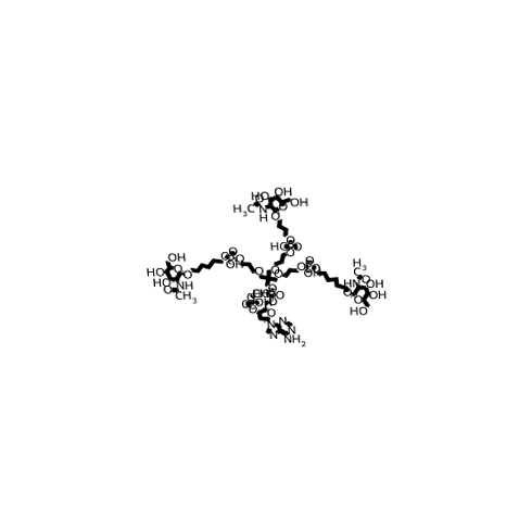 COP(=O)(O)OC1C[C@H](n2cnc3c(N)ncnc32)O[C@@H]1COP(=O)(O)OCC(COCCCOP(=O)(O)OCCCCCCO[C@@H]1OC(CO)[C@H](O)C(O)[C@@H]1NC(C)=O)(COCCCOP(=O)(O)OCCCCCCO[C@@H]1OC(CO)[C@H](O)C(O)[C@@H]1NC(C)=O)COCCCOP(=O)(O)OCCCCO[C@@H]1OC(CO)[C@H](O)[C@H](O)C1NC(C)=O